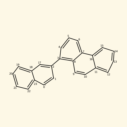 [c]1cc(-c2cccc3c2ccc2ccccc23)cc2ccccc12